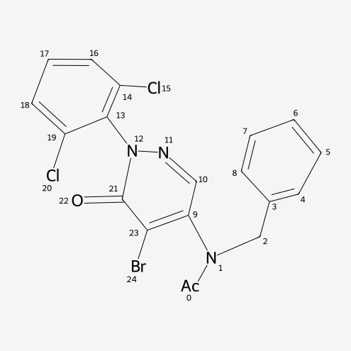 CC(=O)N(Cc1ccccc1)c1cnn(-c2c(Cl)cccc2Cl)c(=O)c1Br